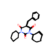 O=C1C(Cc2ccccc2)C(=O)N(C2CCCCC2)C(=O)N1C1CCCCC1